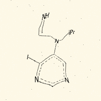 CC(C)N(C=N)c1cncnc1I